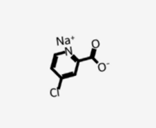 O=C([O-])c1cc(Cl)ccn1.[Na+]